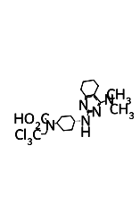 CN(C)c1nc(N[C@H]2CC[C@@H](N(CC(Cl)(Cl)Cl)C(=O)O)CC2)nc2c1CCCC2